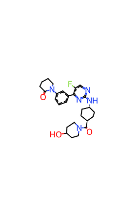 O=C1CCCCN1c1cccc(-c2nc(N[C@H]3CC[C@H](C(=O)N4CCC(O)CC4)CC3)ncc2F)c1